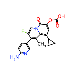 Cc1c(-c2ccc(N)nc2)c(F)cn2c(=O)c(OC(=O)O)cc(C3CC3)c12